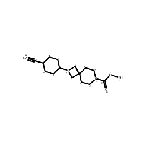 C#CC1CCC(N2CC3(CCN(C(=O)OC(C)(C)C)CC3)C2)CC1